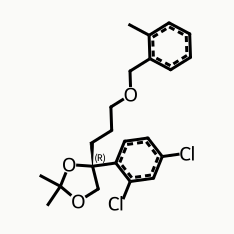 Cc1ccccc1COCCC[C@@]1(c2ccc(Cl)cc2Cl)COC(C)(C)O1